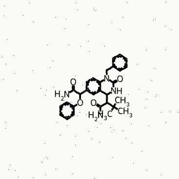 CC(C)(C)C(C(N)=O)C1NC(=O)N(Cc2ccccc2)c2ccc(C(Oc3ccccc3)C(N)=O)cc21